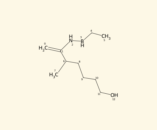 C=C(NBCC)C(C)CCCCO